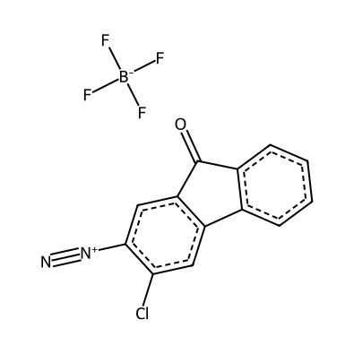 F[B-](F)(F)F.N#[N+]c1cc2c(cc1Cl)-c1ccccc1C2=O